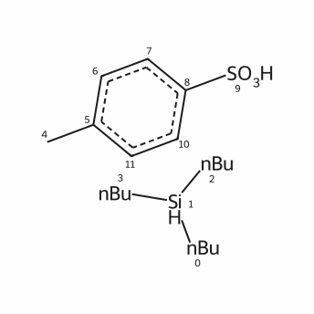 CCCC[SiH](CCCC)CCCC.Cc1ccc(S(=O)(=O)O)cc1